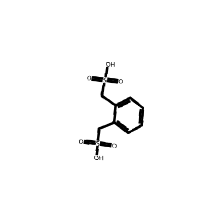 O=S(=O)(O)Cc1ccccc1CS(=O)(=O)O